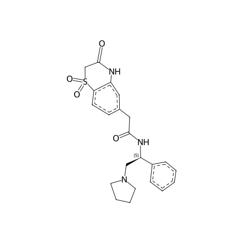 O=C1CS(=O)(=O)c2ccc(CC(=O)N[C@H](CN3CCCC3)c3ccccc3)cc2N1